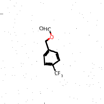 O=COCc1ccc(C(F)(F)F)cc1